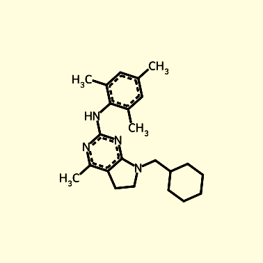 Cc1cc(C)c(Nc2nc(C)c3c(n2)N(CC2CCCCC2)CC3)c(C)c1